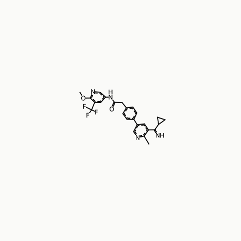 COc1ncc(NC(=O)Cc2ccc(-c3cnc(C)c(C(=N)C4CC4)c3)cc2)cc1C(F)(F)F